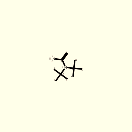 C=C(N)N(C(C)(C)C)C(C)(C)C